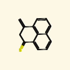 C=C1CC(=S)c2cccc3cccc1c23